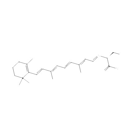 CC1=C(/C=C/C(C)=C/C=C/C(C)=C/C=N/[C@@H](CO)C(N)=O)C(C)(C)CCC1